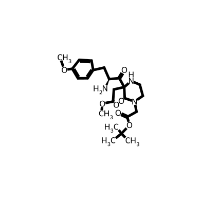 COC(=O)CC1(C(=O)[C@@H](N)Cc2ccc(OC)cc2)NCCN(CC(=O)OC(C)(C)C)C1=O